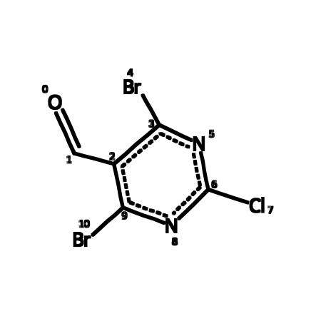 O=Cc1c(Br)nc(Cl)nc1Br